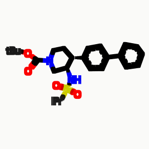 CC(C)S(=O)(=O)N[C@H]1CN(C(=O)OC(C)(C)C)CC[C@@H]1c1ccc(-c2ccccc2)cc1